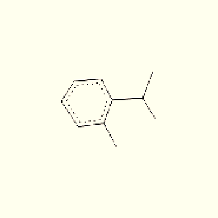 Cc1ccccc1C(C)C